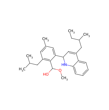 CCC(C)CC1=CC(c2cc(C)cc(CC(C)C)c2C(O)OC)Nc2ccccc21